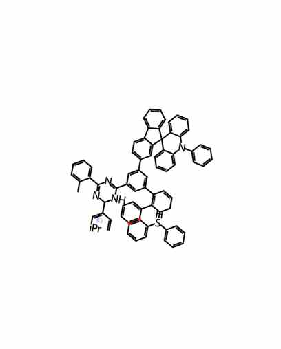 C=C/C(=C\C(C)C)C1N=C(c2ccccc2C)N=C(c2cc(C3=C(c4ccccc4)C([SH](c4ccccc4)c4ccccc4)CC=C3)cc(-c3ccc4c(c3)C3(c5ccccc5-4)c4ccccc4N(c4ccccc4)c4ccccc43)c2)N1